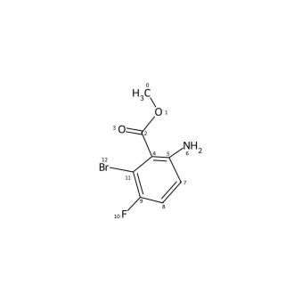 COC(=O)c1c(N)ccc(F)c1Br